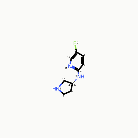 Fc1ccc(N[C@@H]2CCNC2)nc1